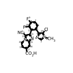 Cn1cnc(-c2ccc(F)c(F)c2-c2nc3cc(C(=O)O)ccn3c2C#N)c1Cl